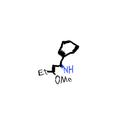 CC/C(=C/C(=N)c1ccccc1)OC